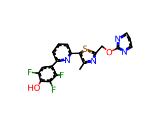 Cc1nc(COc2ncccn2)sc1-c1cccc(-c2cc(F)c(O)c(F)c2F)n1